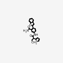 CCC(C(=O)Nc1ccc(-c2cc3ccccc3o2)c(C(N)=O)c1)c1cccs1